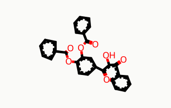 O=C(Oc1ccc(-c2oc3ccccc3c(=O)c2O)cc1OC(=O)c1ccccc1)c1ccccc1